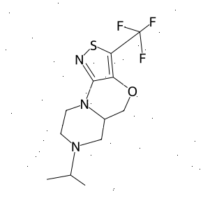 CC(C)N1CCN2c3nsc(C(F)(F)F)c3OCC2C1